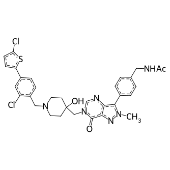 CC(=O)NCc1ccc(-c2c3ncn(CC4(O)CCN(Cc5ccc(-c6ccc(Cl)s6)cc5Cl)CC4)c(=O)c3nn2C)cc1